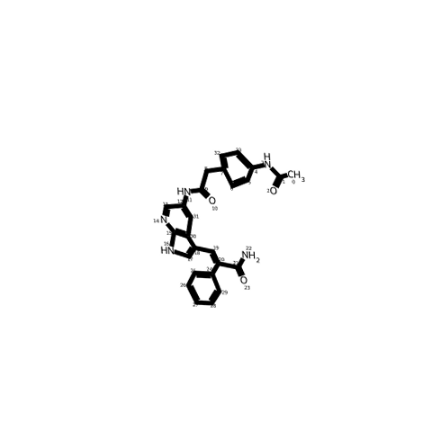 CC(=O)Nc1ccc(CC(=O)Nc2cnc3[nH]cc(/C=C(/C(N)=O)c4ccccc4)c3c2)cc1